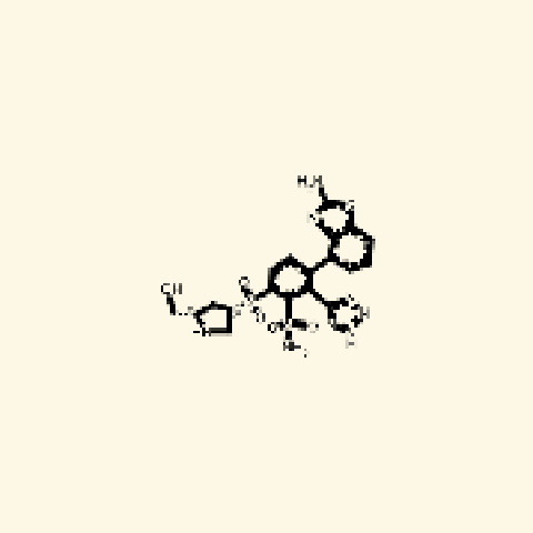 Nc1nc2c(-c3ccc(S(=O)(=O)[C@@H]4CN[C@H](CO)C4)c(S(N)(=O)=O)c3-c3nn[nH]n3)cccc2s1